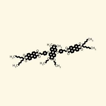 CCCCCCC(CCCCCC)N1C(=O)c2ccc3c4ccc5c6c(ccc(c7ccc(c2c37)C1=O)c64)C(=O)N(CCc1ccc(Oc2cc(C(C)=O)c3c(C(C)=O)ccc4c6c(Oc7ccc(CCN8C(=O)c9ccc%10c%11ccc%12c%13c(ccc(c%14ccc(c9c%10%14)C8=O)c%13%11)C(=O)N(C(CCCCCC)CCCCCC)C%12=O)cc7)cc(C(=O)OCCCC)c7c(C(=O)OCCCC)ccc(c2c34)c76)cc1)C5=O